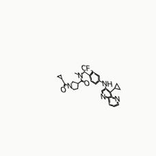 CN(C(=O)C1CCN(C(=O)C2CC2)C1)[C@@H](c1ccc(Nc2cnc3cccnc3c2C2CC2)cc1)C(F)(F)F